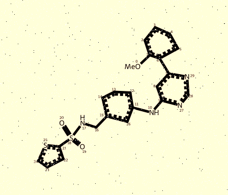 COc1ccccc1-c1cc(Nc2cccc(CNS(=O)(=O)c3cccs3)c2)ncn1